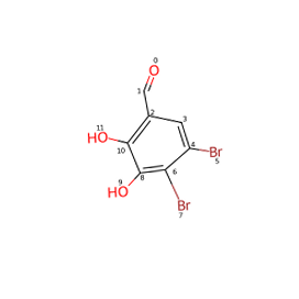 O=Cc1cc(Br)c(Br)c(O)c1O